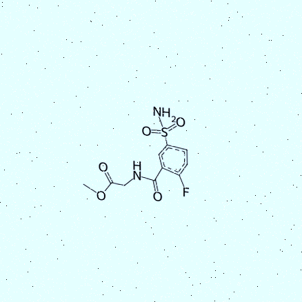 COC(=O)CNC(=O)c1cc(S(N)(=O)=O)ccc1F